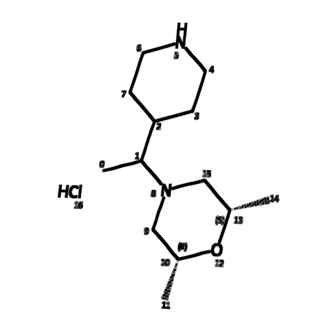 CC(C1CCNCC1)N1C[C@@H](C)O[C@@H](C)C1.Cl